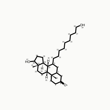 C[C@]12CCC(=O)CC1CC(CCCCCCCCCO)[C@@H]1[C@H]2CC[C@]2(C)C(O)CC[C@@H]12